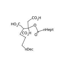 CCCCCCCCCCCCCC(C(=O)O)C(CC(=O)O)(OC(=O)CCCCCCC)C(=O)O